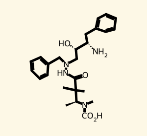 C[C@H](N(C)C(=O)O)C(C)(C)C(=O)NN(Cc1ccccc1)C[C@H](O)[C@@H](N)Cc1ccccc1